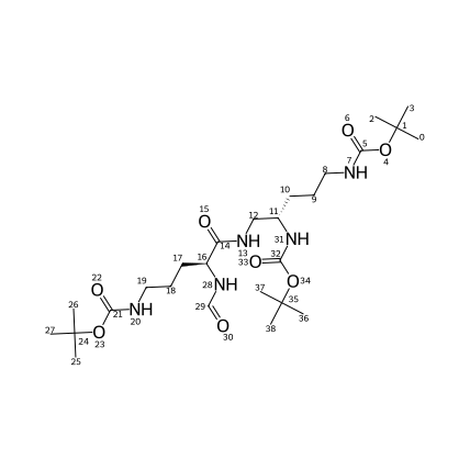 CC(C)(C)OC(=O)NCCC[C@@H](CNC(=O)[C@H](CCCNC(=O)OC(C)(C)C)NC=O)NC(=O)OC(C)(C)C